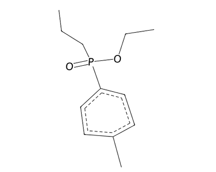 CCCP(=O)(OCC)c1ccc(C)cc1